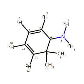 [2H]C1=C([2H])C(N([2H])[2H])C(C)(C)C([2H])=C1[2H]